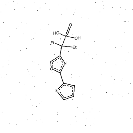 CCC(CC)(c1coc(-c2cccs2)n1)P(=O)(O)O